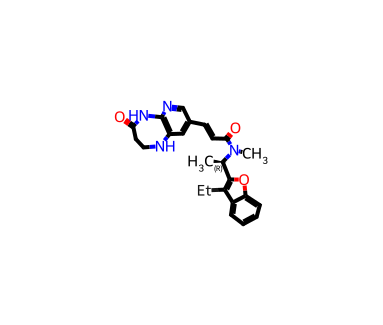 CCc1c([C@@H](C)N(C)C(=O)C=Cc2cnc3c(c2)NCCC(=O)N3)oc2ccccc12